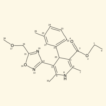 CCOC(=O)C1=C(C)NC(C)=C(c2noc(COC)n2)C1c1cccc(C)c1